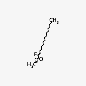 CCCCCCCCCCCCCCCC=C(F)C(=O)OCC